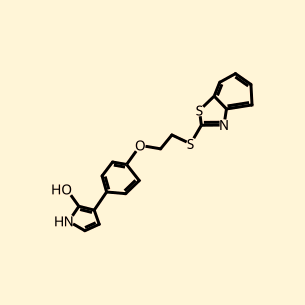 Oc1[nH]ccc1-c1ccc(OCCSc2nc3ccccc3s2)cc1